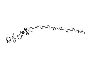 NCCOCCOCCOCCOCCOCCOCC#Cc1ccc(S(=O)(=O)NCc2ccc(C(=O)Nc3cccnc3)cc2)cc1